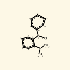 CN(C)c1ccccc1P(Cl)c1ccccc1